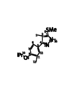 CSc1c(C)c(-c2ccc(OC(C)C)c(C)c2)nn1C